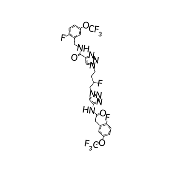 O=C(Cc1cc(OC(F)(F)F)ccc1F)Nc1cn(CC(F)CCn2cc(C(=O)NCc3cc(OC(F)(F)F)ccc3F)nn2)nn1